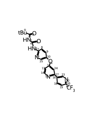 CC(C)(C)C(=O)NC(=O)Nc1ccc(Oc2ccnc(-c3ccc(C(F)(F)F)nc3)c2)cn1